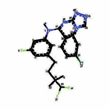 CN(c1cc(F)cc(CCC(C)(C)C(F)F)c1)c1nc2nncn2c2cc(Cl)ccc12